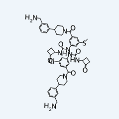 CSc1cc(C(=O)N2CCC(c3cccc(CN)c3)CC2)cc(N(C(=O)NC2CCC2=O)N(C(=O)NC2CCC2=O)c2cc(Cl)cc(C(=O)N3CCC(c4cccc(CN)c4)CC3)c2)c1